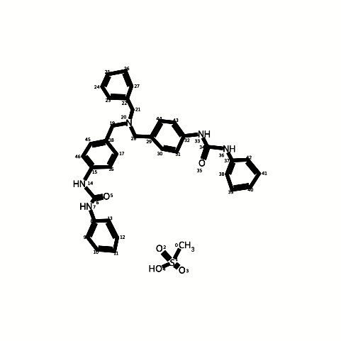 CS(=O)(=O)O.O=C(Nc1ccccc1)Nc1ccc(CN(Cc2ccccc2)Cc2ccc(NC(=O)Nc3ccccc3)cc2)cc1